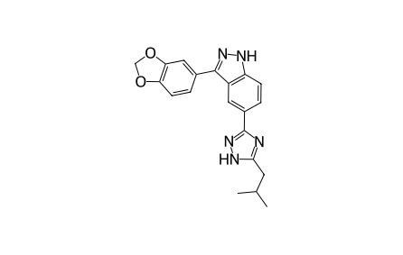 CC(C)Cc1nc(-c2ccc3[nH]nc(-c4ccc5c(c4)OCO5)c3c2)n[nH]1